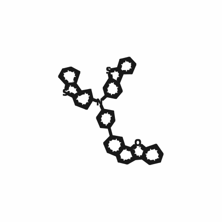 c1ccc2c(c1)oc1c3cc(-c4ccc(N(c5ccc6c(c5)sc5ccccc56)c5ccc6sc7ccccc7c6c5)cc4)ccc3ccc21